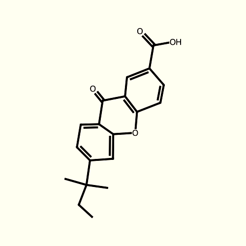 CCC(C)(C)c1ccc2c(=O)c3cc(C(=O)O)ccc3oc2c1